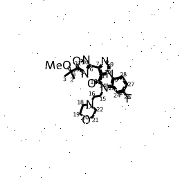 COC(C)(C)c1nc(-c2ncn3c2c(=O)n(CCN2CCOCC2)c2cc(F)ccc23)no1